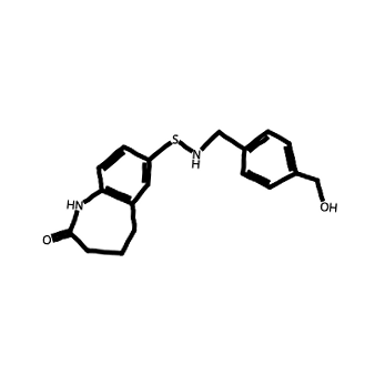 O=C1CCCc2cc(SNCc3ccc(CO)cc3)ccc2N1